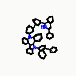 C1=C(c2ccccc2)NC(c2cccc(-c3cccc(N4c5ccccc5-c5c(n(-c6ccc(-c7ccccc7)c7ccccc67)c6ccccc56)-c5ccccc54)c3)c2)c2ccccc21